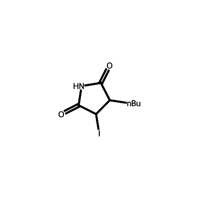 CCCCC1C(=O)NC(=O)C1I